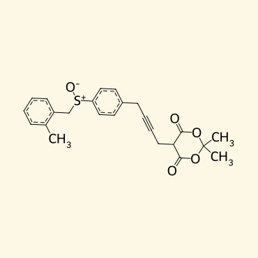 Cc1ccccc1C[S+]([O-])c1ccc(CC#CCC2C(=O)OC(C)(C)OC2=O)cc1